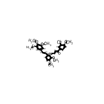 COc1ccc(C(=O)C=CNc2c(C=Cc3cc(OC)c(OC)c(OC)c3)ccc(OC)c2OC)cc1Cl